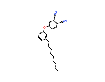 CCCCCCCCCc1cccc(Oc2ccc(C#N)c(C#N)c2)c1